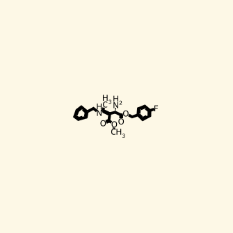 COC(=O)/C(=C(/C)NCc1ccccc1)[C@H](N)C(=O)OCc1ccc(F)cc1